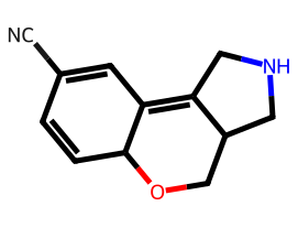 N#CC1=CC2=C3CNCC3COC2C=C1